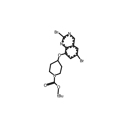 CC(C)(C)OC(=O)N1CCC(Oc2cc(Br)cc3cnc(Br)nc23)CC1